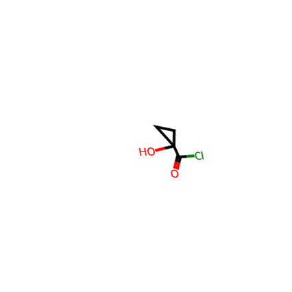 O=C(Cl)C1(O)CC1